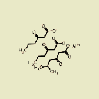 CC(C)CC(=O)CC(=O)[O-].CCCC(=O)CC(=O)[O-].CCCC(=O)CC(=O)[O-].[Al+3]